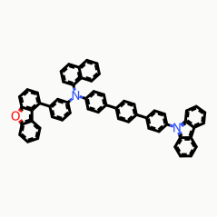 c1cc(-c2cccc3oc4ccccc4c23)cc(N(c2ccc(-c3ccc(-c4ccc(-n5c6ccccc6c6ccccc65)cc4)cc3)cc2)c2cccc3ccccc23)c1